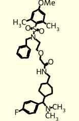 COc1cc(C)c(S(=O)(=O)N(CCOCC(=O)NCC2CCC(C(c3ccc(F)cc3)N(C)C)CC2)Cc2ccccc2)c(C)c1